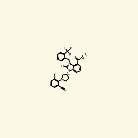 CNC(=O)c1cccc2c1n(Cc1ccccc1C(F)(F)F)c(=O)n2[C@@H]1CCN(c2c(F)cccc2C#N)C1